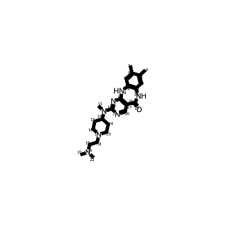 Cc1cc2c(cc1C)Nc1nc(N(C)C3CCN(CCN(C)C)CC3)ncc1C(=O)N2